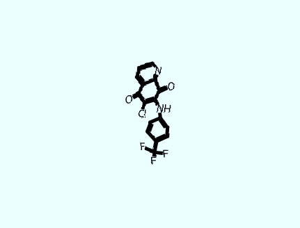 O=C1C(Cl)=C(Nc2ccc(C(F)(F)F)cc2)C(=O)c2ncccc21